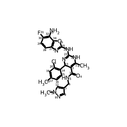 CC1=C(C(=O)NCc2cnn(C)c2)C(c2ccc(C)cc2Cl)N=C(Nc2nc3ccc(F)c(N)c3o2)N1